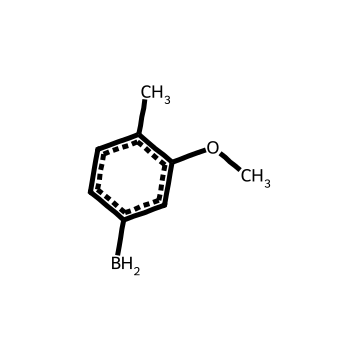 Bc1ccc(C)c(OC)c1